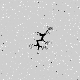 CCCCOC(=O)[C@@H](N)CC(C)(C)F